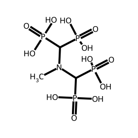 CN(C(P(=O)(O)O)P(=O)(O)O)C(P(=O)(O)O)P(=O)(O)O